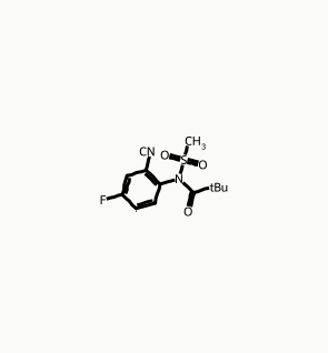 CC(C)(C)C(=O)N(c1c[c]c(F)cc1C#N)S(C)(=O)=O